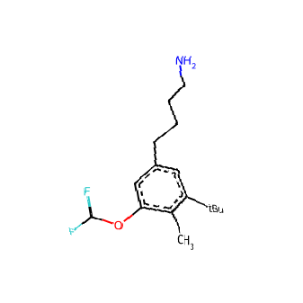 Cc1c(OC(F)F)cc(CCCCN)cc1C(C)(C)C